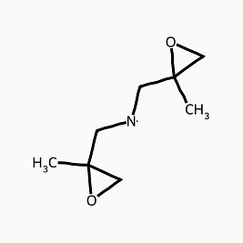 CC1(C[N]CC2(C)CO2)CO1